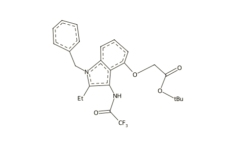 CCc1c(NC(=O)C(F)(F)F)c2c(OCC(=O)OC(C)(C)C)cccc2n1Cc1ccccc1